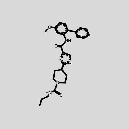 CCCNC(=S)N1CCC(c2nc(C(=O)Nc3cc(OC)ccc3-c3ccccc3)cs2)CC1